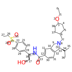 CCOC1CCC(CN2Cc3cc(C(=O)N[C@@H](CO)c4ccc(S(=O)(=O)CC)cc4)ccc3[C@@H]2C(C)C)CC1